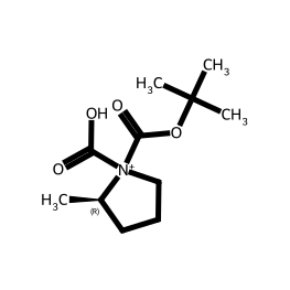 C[C@@H]1CCC[N+]1(C(=O)O)C(=O)OC(C)(C)C